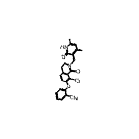 Cc1cc(C)c(CN2CCc3ccc(Oc4ccccc4C#N)c(Cl)c3C2=O)c(=O)[nH]1